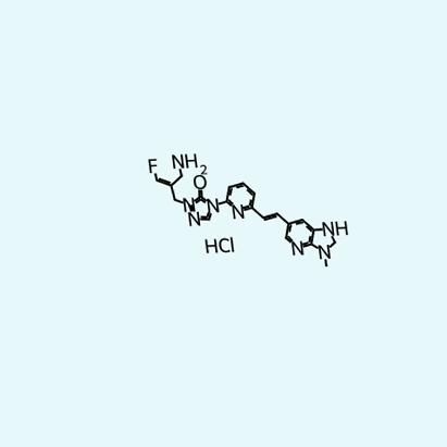 CN1CNc2cc(/C=C/c3cccc(-n4cnn(C/C(=C/F)CN)c4=O)n3)cnc21.Cl